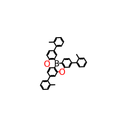 Cc1ccccc1-c1ccc2c(c1)Oc1cc(-c3ccccc3C)cc3c1B2c1cc(-c2ccccc2C)ccc1O3